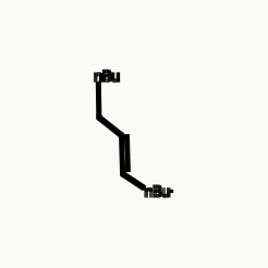 CCC[CH]/C=C/CCCCC